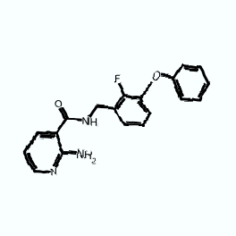 Nc1ncccc1C(=O)NCc1cccc(Oc2ccccc2)c1F